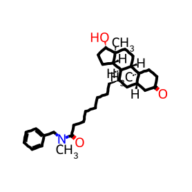 CN(Cc1ccccc1)C(=O)CCCCCCC[C@@H]1C[C@H]2CC(=O)CC[C@]2(C)[C@H]2CC[C@]3(C)[C@@H](O)CC[C@H]3[C@H]12